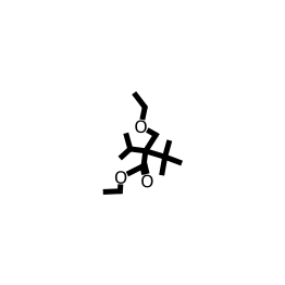 CCOCC(C(=O)OCC)(C(C)C)C(C)(C)C